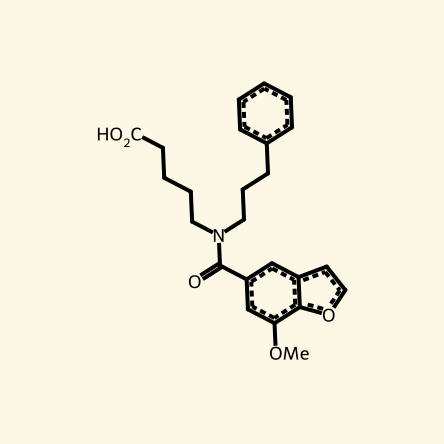 COc1cc(C(=O)N(CCCCC(=O)O)CCCc2ccccc2)cc2ccoc12